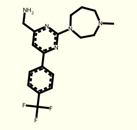 CN1CCCN(c2nc(CN)cc(-c3ccc(C(F)(F)F)cc3)n2)CC1